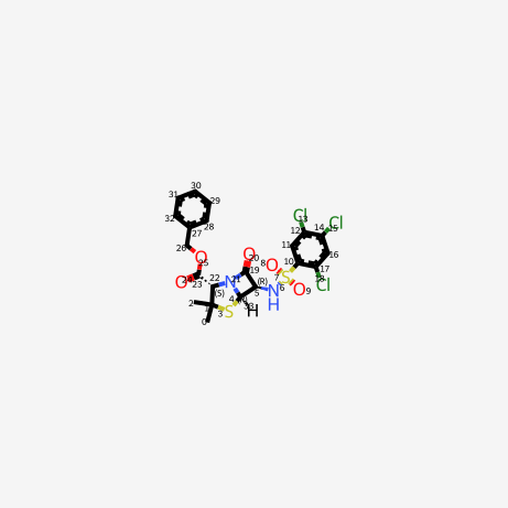 CC1(C)S[C@@H]2[C@H](NS(=O)(=O)c3cc(Cl)c(Cl)cc3Cl)C(=O)N2[C@H]1C(=O)OCc1ccccc1